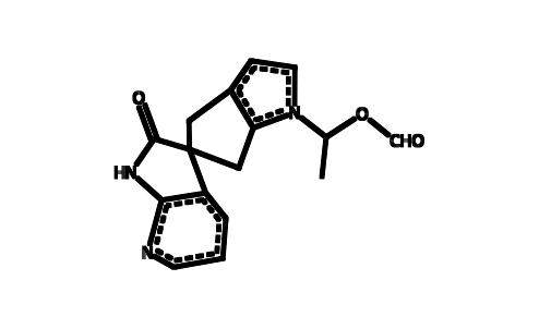 CC(OC=O)n1ccc2c1CC1(C2)C(=O)Nc2ncccc21